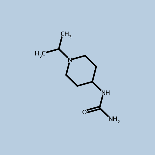 CC(C)N1CCC(NC(N)=O)CC1